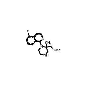 COCC1(C)CNCCN1c1nccc2c(F)cccc12